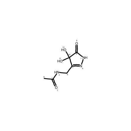 CC(=O)NCC1=NNC(=O)C1(O)O